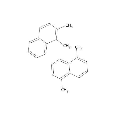 Cc1ccc2ccccc2c1C.Cc1cccc2c(C)cccc12